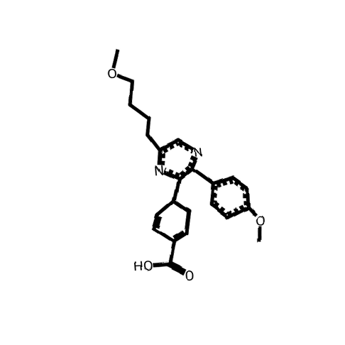 COCCCCc1cnc(-c2ccc(OC)cc2)c(C2C=CC(C(=O)O)=CC2)n1